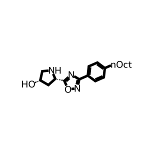 CCCCCCCCc1ccc(-c2noc([C@@H]3C[C@H](O)CN3)n2)cc1